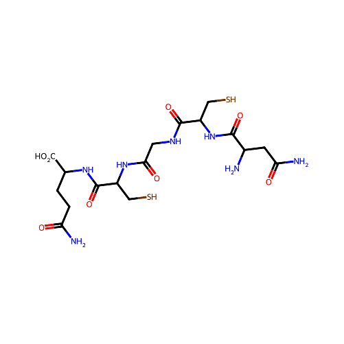 NC(=O)CCC(NC(=O)C(CS)NC(=O)CNC(=O)C(CS)NC(=O)C(N)CC(N)=O)C(=O)O